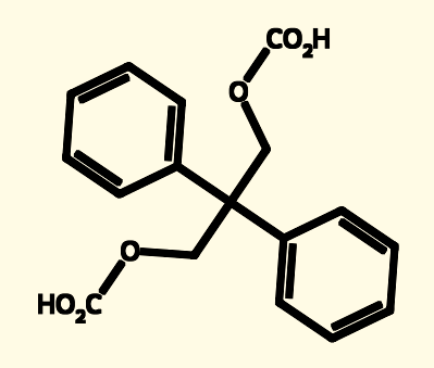 O=C(O)OCC(COC(=O)O)(c1ccccc1)c1ccccc1